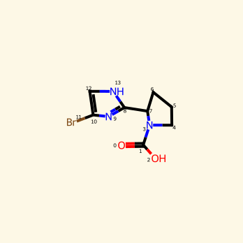 O=C(O)N1CCCC1c1nc(Br)c[nH]1